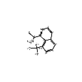 CC(N)c1nccc2cccc(C(F)(F)F)c12